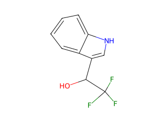 OC(c1c[nH]c2ccccc12)C(F)(F)F